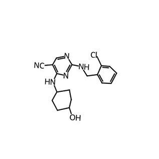 N#Cc1cnc(NCc2ccccc2Cl)nc1NC1CCC(O)CC1